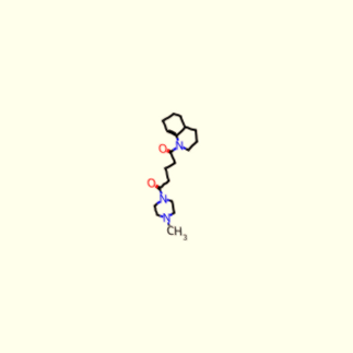 CN1CCN(C(=O)CCCC(=O)N2CCCC3CCCC=C32)CC1